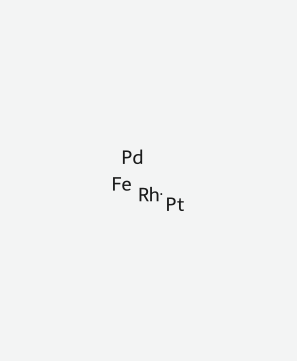 [Fe].[Pd].[Pt].[Rh]